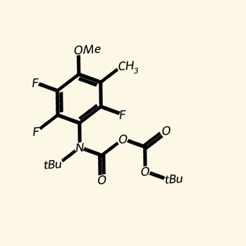 COc1c(C)c(F)c(N(C(=O)OC(=O)OC(C)(C)C)C(C)(C)C)c(F)c1F